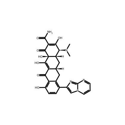 CN(C)[C@@H]1C(O)=C(C(N)=O)C(=O)[C@@]2(O)C(O)=C3C(=O)c4c(O)ccc(-c5cn6cccnc6n5)c4C[C@H]3C[C@@H]12